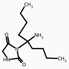 CCCCC(N)(CCCC)N1C(=O)CNC1=O